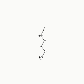 SCCCNI